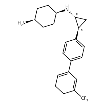 N[C@H]1CC[C@@H](N[C@@H]2C[C@H]2c2ccc(C3=CCCC(C(F)(F)F)=C3)cc2)CC1